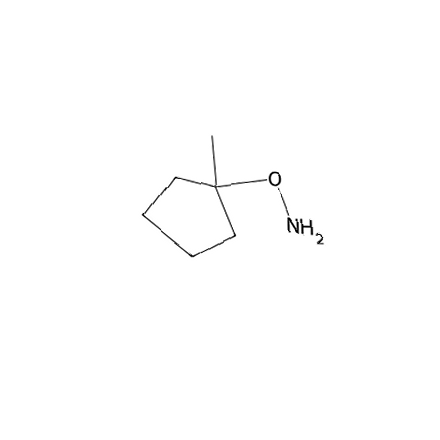 CC1(ON)CCCC1